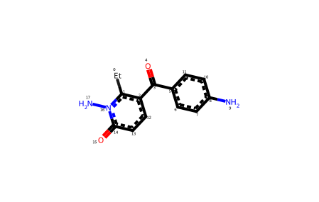 CCc1c(C(=O)c2ccc(N)cc2)ccc(=O)n1N